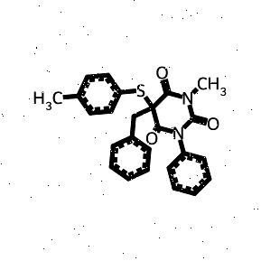 Cc1ccc(SC2(Cc3ccccc3)C(=O)N(C)C(=O)N(c3ccccc3)C2=O)cc1